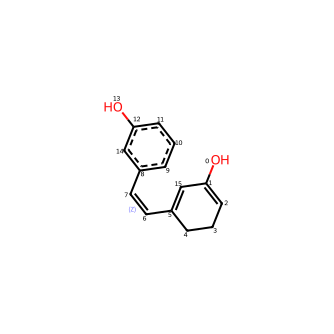 OC1=CCCC(/C=C\c2cccc(O)c2)=C1